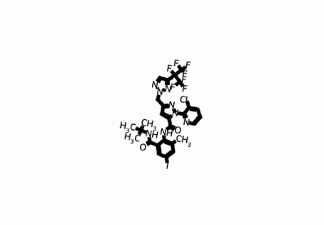 Cc1cc(I)cc(C(=O)NC(C)(C)C)c1NC(=O)c1cc(Cn2ncc(C(F)(C(F)(F)F)C(F)(F)F)n2)nn1-c1ncccc1Cl